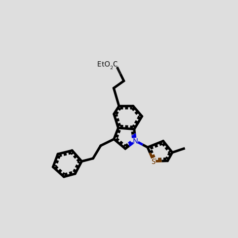 CCOC(=O)CCc1ccc2c(c1)c(CCc1ccccc1)cn2-c1cc(C)cs1